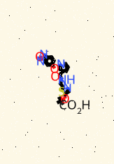 CC(C)(Oc1cnc(CNC(=O)c2cccnc2Oc2ccc3nonc3c2)s1)C(=O)O